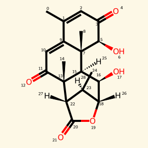 CC1=CC(=O)[C@@H](O)[C@@]2(C)C1=CC(=O)[C@]1(C)[C@@H]2[C@@H](O)[C@@H]2OC(=O)[C@H]1[C@H]2C